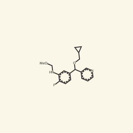 COCNc1cc(C(OCC2CC2)c2cccnc2)ccc1F